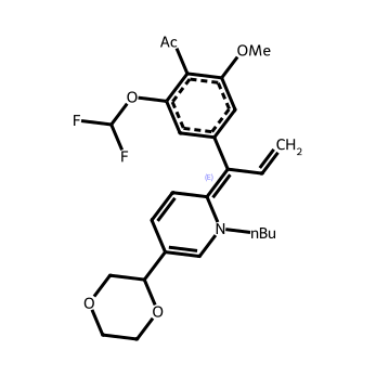 C=C/C(=C1/C=CC(C2COCCO2)=CN1CCCC)c1cc(OC)c(C(C)=O)c(OC(F)F)c1